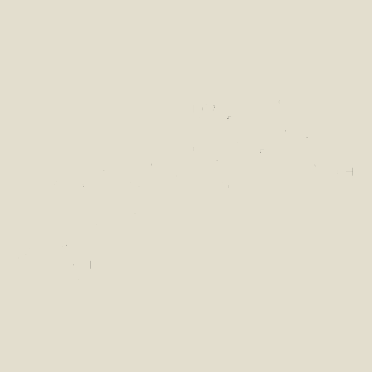 CC1CCC2C(C=CC(C)C2C(=O)CCOC(=O)Cc2ccc(O)c(O)c2)C1